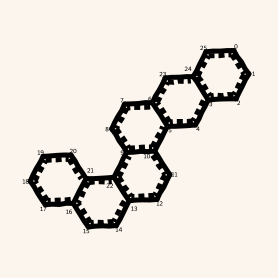 c1ccc2cc3c(ccc4c3ccc3ccc5ccccc5c34)cc2c1